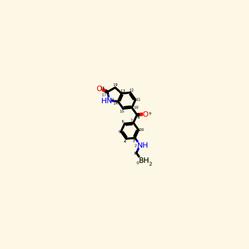 BCNc1cccc(C(=O)c2ccc3c(c2)NC(=O)C3)c1